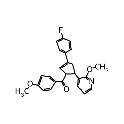 COc1ccc(C(=O)C2C=C(c3ccc(F)cc3)CC2c2cccnc2OC)cc1